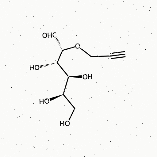 C#CCO[C@@H](C=O)[C@@H](O)[C@@H](O)[C@H](O)CO